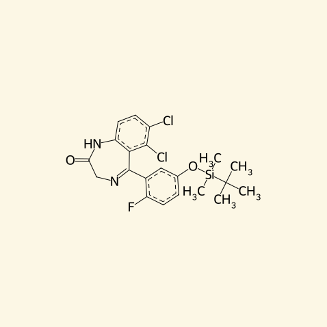 CC(C)(C)[Si](C)(C)Oc1ccc(F)c(C2=NCC(=O)Nc3ccc(Cl)c(Cl)c32)c1